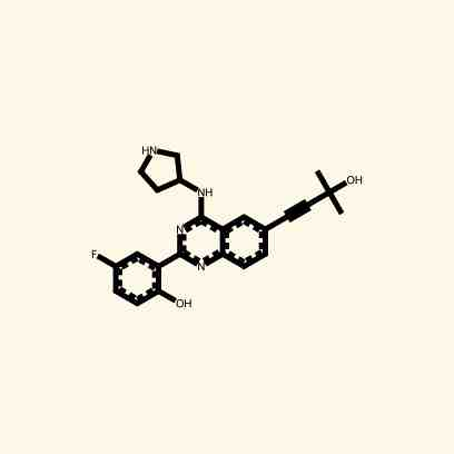 CC(C)(O)C#Cc1ccc2nc(-c3cc(F)ccc3O)nc(NC3CCNC3)c2c1